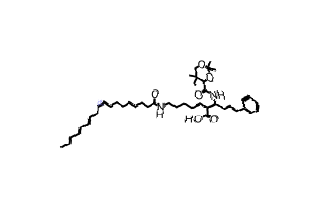 CCCCCCCC/C=C\CCCCCCCC(=O)NCCCCCC(C(=O)O)C(CCCc1ccccc1)NC(=O)C1OC(C)(C)OCC1(C)C